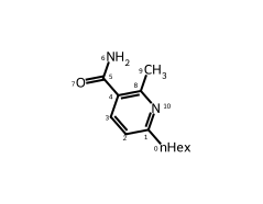 CCCCCCc1ccc(C(N)=O)c(C)n1